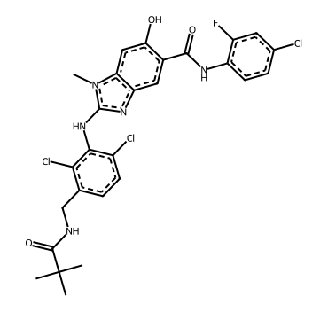 Cn1c(Nc2c(Cl)ccc(CNC(=O)C(C)(C)C)c2Cl)nc2cc(C(=O)Nc3ccc(Cl)cc3F)c(O)cc21